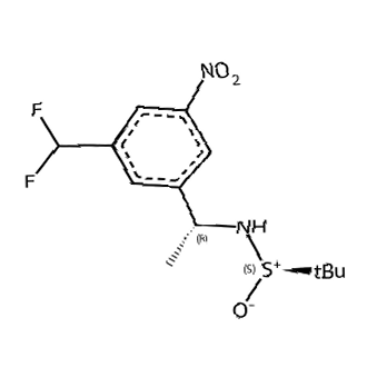 C[C@@H](N[S@+]([O-])C(C)(C)C)c1cc(C(F)F)cc([N+](=O)[O-])c1